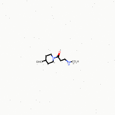 O=CC1CCN(C(=O)CCNC(=O)O)CC1